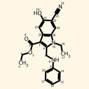 CCOC(=O)c1c(CNc2ccccc2)n(CC)c2cc(C#N)c(O)cc12